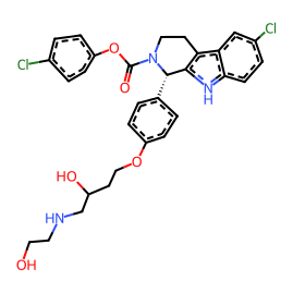 O=C(Oc1ccc(Cl)cc1)N1CCc2c([nH]c3ccc(Cl)cc23)[C@@H]1c1ccc(OCCC(O)CNCCO)cc1